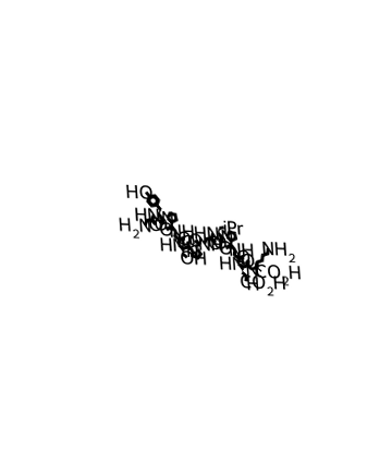 CC(C)C[C@H](NC(=O)CNC(=O)[C@@H]1CCCN1C(=O)[C@H](CO)NC(=O)CNC(=O)[C@@H]1CCCN1C(=O)[C@H](Cc1ccc(O)cc1)NC(=O)CN)C(=O)N1CCC[C@H]1C(=O)NCC(=O)N[C@@H](CCC(=O)O)C(=O)N[C@@H](CCCCN)C(=O)O